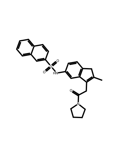 CC1=C(CC(=O)N2CCCC2)c2cc(NS(=O)(=O)c3ccc4ccccc4c3)ccc2C1